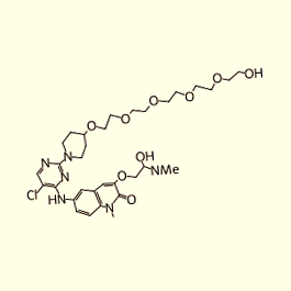 CNC(O)COc1cc2cc(Nc3nc(N4CCC(OCCOCCOCCOCCOCCO)CC4)ncc3Cl)ccc2n(C)c1=O